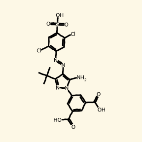 CC(C)(C)c1nn(-c2cc(C(=O)O)cc(C(=O)O)c2)c(N)c1/N=N/c1cc(Cl)c(S(=O)(=O)O)cc1Cl